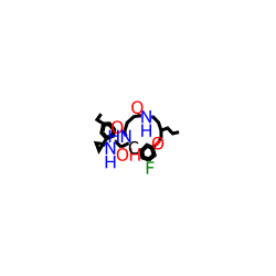 CCCC1CCNC(=O)CCC(=O)NC(C(O)CNC2(c3cccc(CC)c3)CC2)Cc2cc(F)cc(c2)OC1